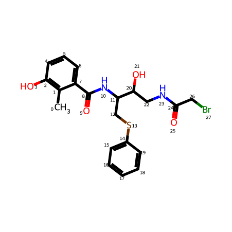 Cc1c(O)cccc1C(=O)NC(CSc1ccccc1)C(O)CNC(=O)CBr